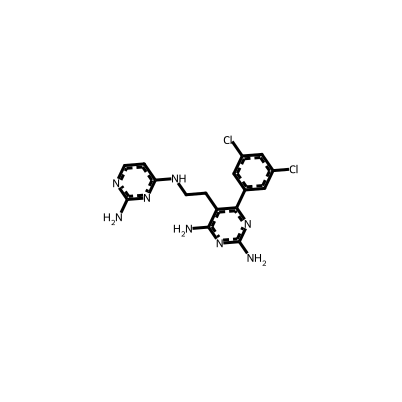 Nc1nccc(NCCc2c(N)nc(N)nc2-c2cc(Cl)cc(Cl)c2)n1